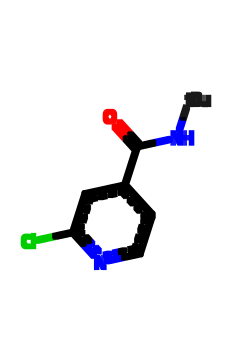 CC(C)(C)NC(=O)c1ccnc(Cl)c1